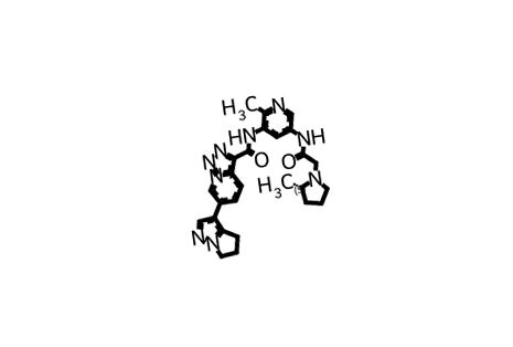 Cc1ncc(NC(=O)CN2CCC[C@@H]2C)cc1NC(=O)c1nnn2cc(-c3cnn4c3CCC4)ccc12